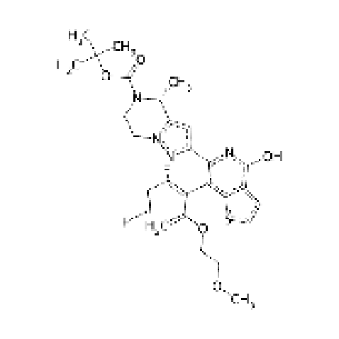 C=C(OCCOC)/C(=C(F)\C=C\F)c1c(-c2cc3n(n2)CCN(C(=O)OC(C)(C)C)[C@@H]3C)nc(O)c2ccsc12